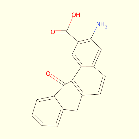 Nc1cc2ccc3c(c2cc1C(=O)O)C(=O)c1ccccc1C3